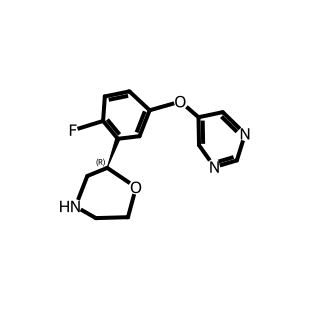 Fc1ccc(Oc2cncnc2)cc1[C@@H]1CNCCO1